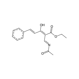 CCOC(=O)/C(C=NC(C)=O)=C(\O)C=Cc1ccccc1